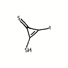 S=c1c(S)c1I